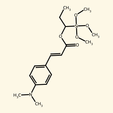 CCC(OC(=O)C=Cc1ccc(N(C)C)cc1)[Si](OC)(OC)OC